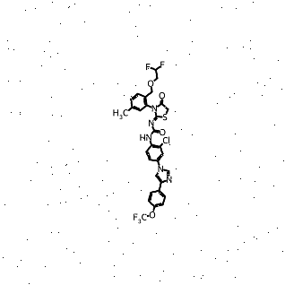 Cc1ccc(COCC(F)F)c(N2C(=O)CS/C2=N\C(=O)Nc2ccc(-n3cnc(-c4ccc(OC(F)(F)F)cc4)c3)cc2Cl)c1